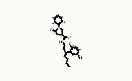 CCC/C=C(/CCNC(=O)C1CC(=O)N(c2ccccc2)C1)c1cc(Cl)ccc1C